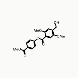 COC(=O)c1ccc(OC(=O)c2cc(OC)c(CO)cc2OC)cc1